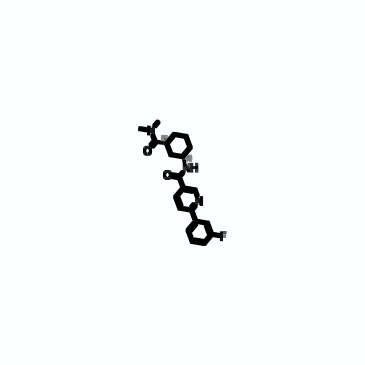 CN(C)C(=O)[C@H]1CCC[C@H](NC(=O)c2ccc(-c3cccc(F)c3)nc2)C1